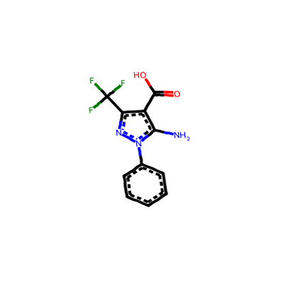 Nc1c(C(=O)O)c(C(F)(F)F)nn1-c1ccccc1